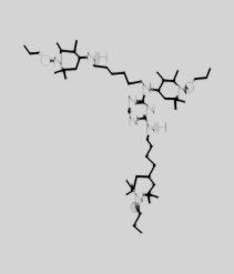 CCCON1C(C)C(C)C(NCCCCCCN(c2ncnc(NCCCCC3CC(C)(C)N(OCCC)C(C)(C)C3)n2)C2CC(C)(C)N(OCCC)C(C)C2C)CC1(C)C